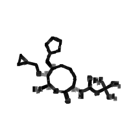 C[C@@H]1OC(=O)[C@@H](NC(=O)OC(C)(C)C)CCC[C@H](CC2CCCC2)[C@H]1OCC1CC1